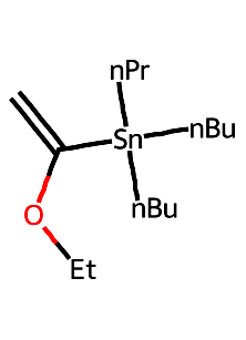 C=[C](OCC)[Sn]([CH2]CC)([CH2]CCC)[CH2]CCC